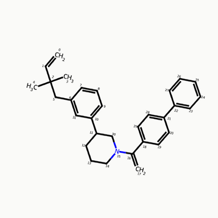 C=CC(C)(C)Cc1cccc(C2CCCN(C(=C)c3ccc(-c4ccccc4)cc3)C2)c1